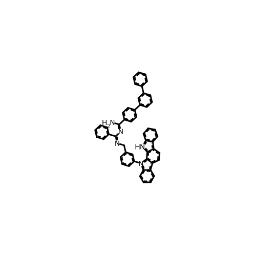 N/C(=N\C(=N/Cc1cccc(-n2c3ccccc3c3ccc4c5ccccc5[nH]c4c32)c1)c1ccccc1)c1ccc(-c2cccc(-c3ccccc3)c2)cc1